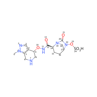 Cn1ncc2c1CNCC2ONC(=O)[C@@H]1CCC2CN1C(=O)N2OS(=O)(=O)O